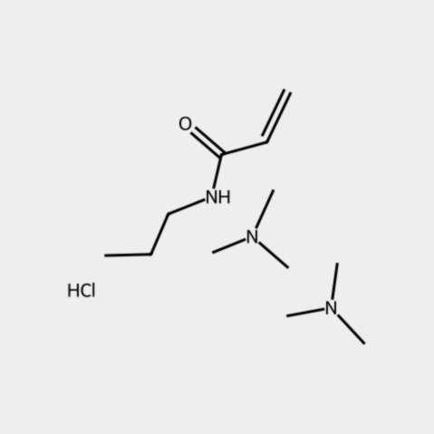 C=CC(=O)NCCC.CN(C)C.CN(C)C.Cl